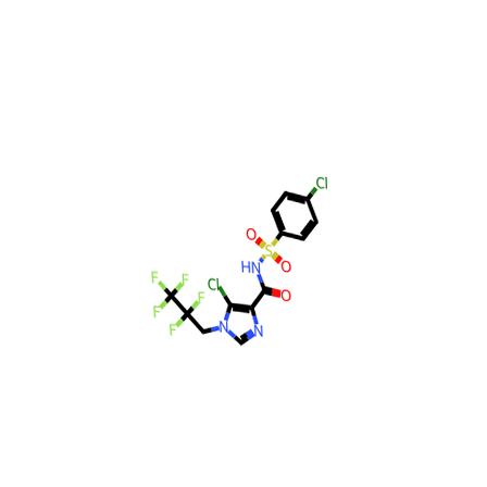 O=C(NS(=O)(=O)c1ccc(Cl)cc1)c1ncn(CC(F)(F)C(F)(F)F)c1Cl